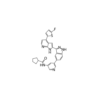 O=C(Nc1cncc(-c2ccc3[nH]nc(-c4cc5c(-c6ccc(F)s6)ccnc5[nH]4)c3c2)c1)C1CCCC1